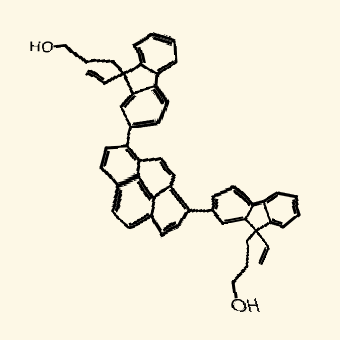 C=CC1(CCCO)c2ccccc2-c2ccc(-c3ccc4ccc5ccc(-c6ccc7c(c6)C(C=C)(CCCO)c6ccccc6-7)c6ccc3c4c56)cc21